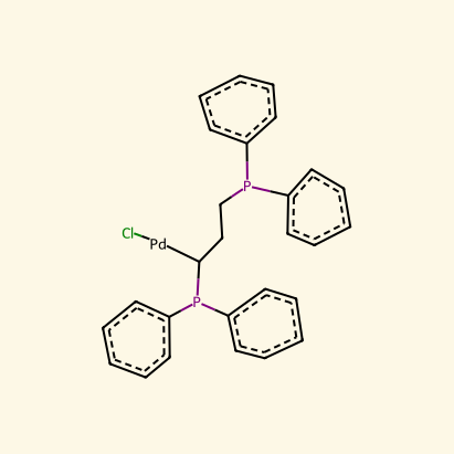 [Cl][Pd][CH](CCP(c1ccccc1)c1ccccc1)P(c1ccccc1)c1ccccc1